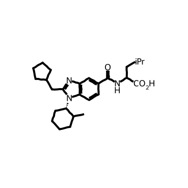 CC(C)CC(NC(=O)c1ccc2c(c1)nc(CC1CCCC1)n2[C@H]1CCCCC1C)C(=O)O